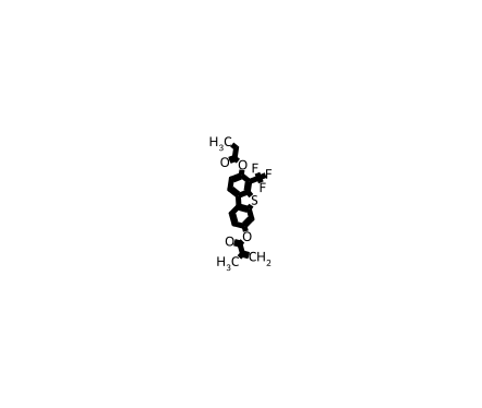 C=C(C)C(=O)Oc1ccc2c(c1)sc1c(C(F)(F)F)c(OC(=O)CC)ccc12